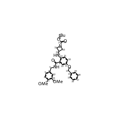 COc1ccc(CNC(=O)c2cc(OCc3ccccc3)ccc2NC2CN(C(=O)OC(C)(C)C)C2)cc1OC